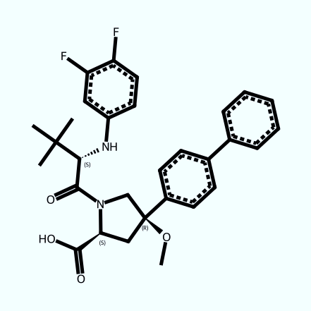 CO[C@@]1(c2ccc(-c3ccccc3)cc2)C[C@@H](C(=O)O)N(C(=O)[C@@H](Nc2ccc(F)c(F)c2)C(C)(C)C)C1